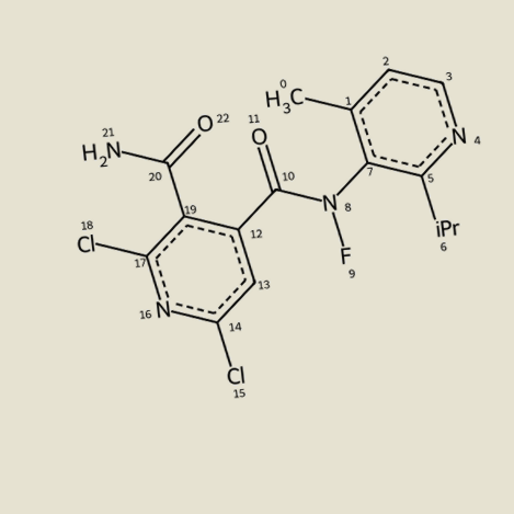 Cc1ccnc(C(C)C)c1N(F)C(=O)c1cc(Cl)nc(Cl)c1C(N)=O